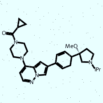 CO[C@]1(C2C=CC(c3cc4c(N5CCN(C(=O)C6CC6)CC5)ccnn4c3)=CC2)CCN(C(C)C)C1